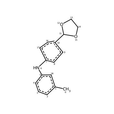 Cc1cccc(Nc2ccc(C3OCCO3)cc2)c1